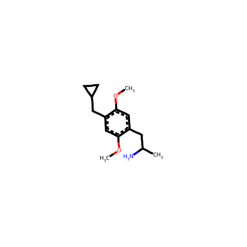 COc1cc(CC2CC2)c(OC)cc1CC(C)N